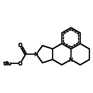 CC(C)(C)OC(=O)N1CC2CN3CCCc4cccc(c43)C2C1